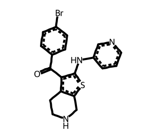 O=C(c1ccc(Br)cc1)c1c(Nc2cccnc2)sc2c1CCNC2